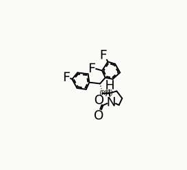 O=C1O[C@H](C(c2ccc(F)cc2)c2cccc(F)c2F)[C@H]2CCCN12